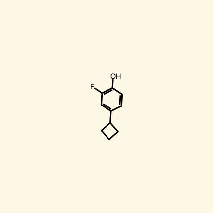 Oc1ccc(C2CCC2)cc1F